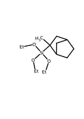 CCO[Si](OCC)(OCC)C1(C)CC2CCC1C2